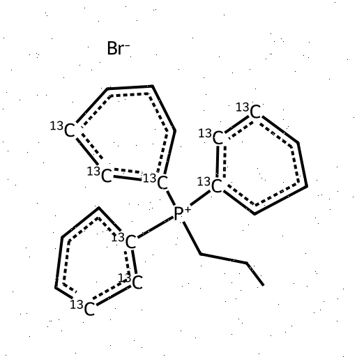 CCC[P+]([13c]1ccc[13cH][13cH]1)([13c]1ccc[13cH][13cH]1)[13c]1ccc[13cH][13cH]1.[Br-]